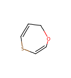 C1=CSC=COC1